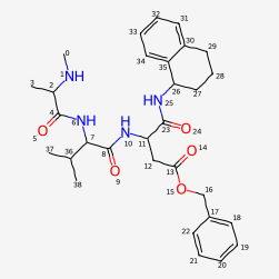 CNC(C)C(=O)NC(C(=O)NC(CC(=O)OCc1ccccc1)C(=O)NC1CCCc2ccccc21)C(C)C